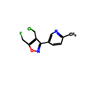 Cc1ccc(-c2noc(CF)c2CCl)cn1